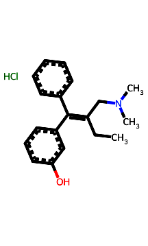 CCC(CN(C)C)=C(c1ccccc1)c1cccc(O)c1.Cl